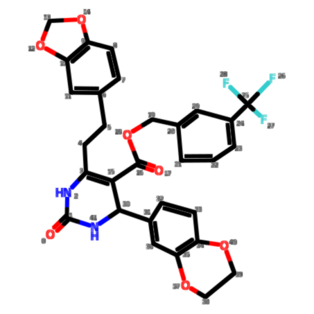 O=C1NC(CCc2ccc3c(c2)OCO3)=C(C(=O)OCc2cccc(C(F)(F)F)c2)C(c2ccc3c(c2)OCCO3)N1